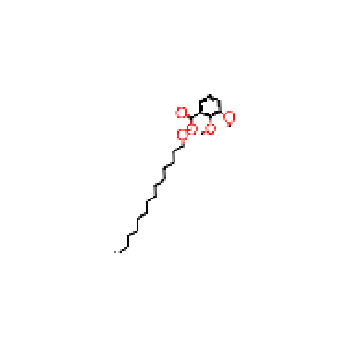 [CH2]CCCCCCCCCCCCCOOC(=O)c1cccc(OC)c1OC